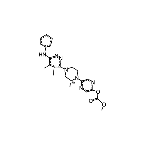 COC(=O)Oc1cnc(N2CCN(c3nnc(Nc4ccccc4)c(C)c3C)C[C@H]2C)cn1